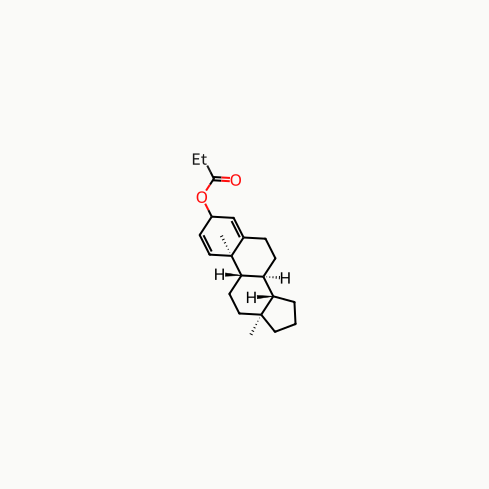 CCC(=O)OC1C=C[C@@]2(C)C(=C1)CC[C@H]1[C@@H]3CCC[C@@]3(C)CC[C@@H]12